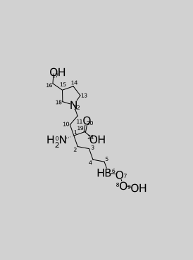 N[C@](CCCCBOOO)(CCN1CCC(CO)C1)C(=O)O